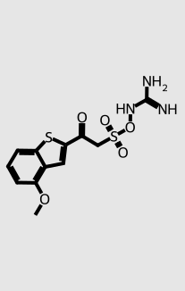 COc1cccc2sc(C(=O)CS(=O)(=O)ONC(=N)N)cc12